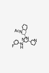 CC(=O)N1CC(c2nc(Nc3cccc(F)c3)cc(-c3cccnc3)n2)Cc2ccccc21